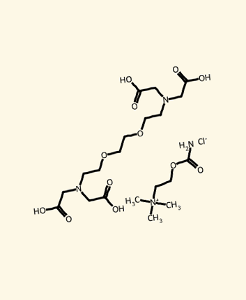 C[N+](C)(C)CCOC(N)=O.O=C(O)CN(CCOCCOCCN(CC(=O)O)CC(=O)O)CC(=O)O.[Cl-]